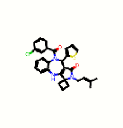 CC(C)=CCN1C(=O)C2=C(Nc3ccccc3N(C(=O)c3cccc(Cl)c3)C2c2cccs2)C12CCC2